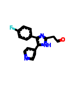 O=CCc1nc(-c2ccc(F)cc2)c(-c2ccncc2)[nH]1